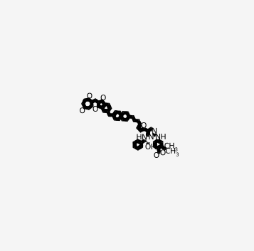 CC1(C)OC(=O)c2ccc(Nc3ncc(-c4ccc(CCCC5CCC6(CC=C(Cc7ccc8c(c7)C(=O)C(CC7CCC(=O)CCC7=O)C8=O)CC6)CC5)o4)c(N[C@H](CO)c4ccccc4)n3)cc21